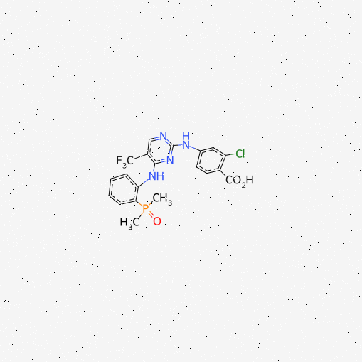 CP(C)(=O)c1ccccc1Nc1nc(Nc2ccc(C(=O)O)c(Cl)c2)ncc1C(F)(F)F